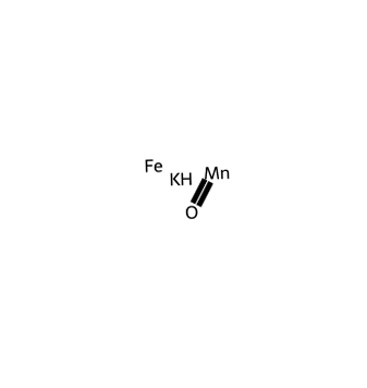 [Fe].[KH].[O]=[Mn]